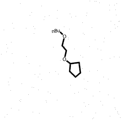 CCCCOCCOC1CCCC1